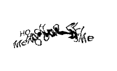 CNC(=O)NC[C@H](NC(=O)C1CCN(C(=O)C=Cc2ccc(SC)c(Cl)c2Cl)CC1)C(=O)O